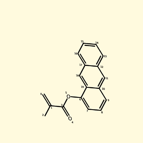 C=C(C)C(=O)Oc1cccc2cc3ccccc3cc12